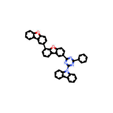 c1ccc(-c2nc(-c3ccc4oc5c(-c6ccc7oc8ccccc8c7c6)cccc5c4c3)nc(-n3c4ccccc4c4ccccc43)n2)cc1